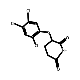 O=C1CCC(Sc2cc(Cl)c(Cl)cc2Cl)C(=O)N1